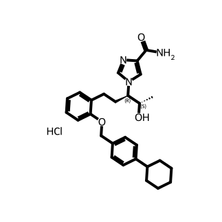 C[C@H](O)[C@@H](CCc1ccccc1OCc1ccc(C2CCCCC2)cc1)n1cnc(C(N)=O)c1.Cl